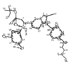 Cc1cc2cc(N(CC(=O)OC(C)(C)C)S(=O)(=O)c3cc(Cl)cc(Cl)c3)ccc2n1-c1ccc(NCCN(C)C)nn1